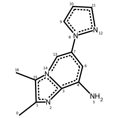 Cc1nc2c(N)cc(-n3cccn3)cn2c1C